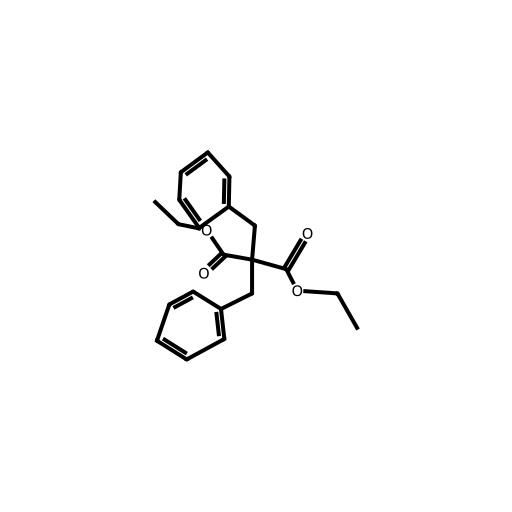 CCOC(=O)C(Cc1ccccc1)(Cc1ccccc1)C(=O)OCC